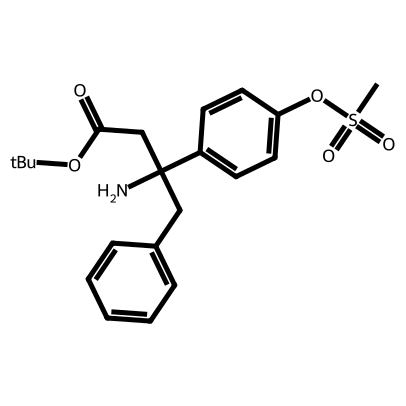 CC(C)(C)OC(=O)CC(N)(Cc1ccccc1)c1ccc(OS(C)(=O)=O)cc1